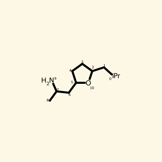 CC(C)CC1CCC(CC(C)N)O1